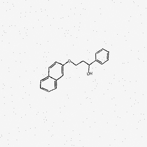 OC(CCOc1ccc2ccccc2c1)c1ccccc1